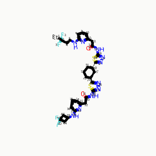 CCC(F)(F)CCNc1cccc(CC(=O)Nc2nnc([C@H]3CCC[C@H](c4nnc(NC(=O)Cc5cccc(NC6CC(F)(F)C6)n5)s4)C3)s2)n1